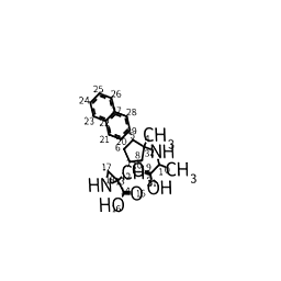 CC(NC1(C)CCCC1)C(=O)O.CC1(C(=O)O)CN1.c1ccc2ccccc2c1